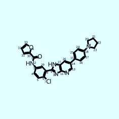 O=C(Nc1ccc(Cl)c(-c2nc3ncc(-c4ccc(N5CCCC5)cc4)cc3[nH]2)c1)c1ccco1